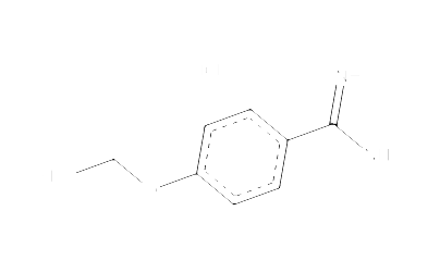 CCOc1ccc(C(=N)N)cc1.Cl